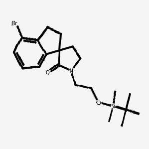 CC(C)(C)[Si](C)(C)OCCN1CCC2(CCc3c(Br)cccc32)C1=O